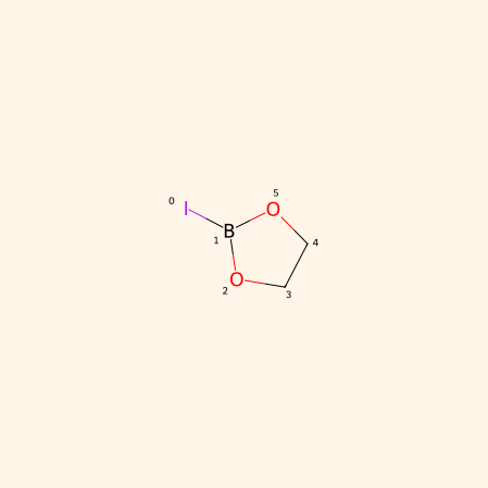 IB1OCCO1